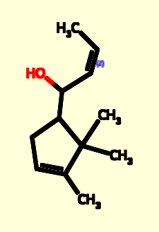 C/C=C\C(O)C1CC=C(C)C1(C)C